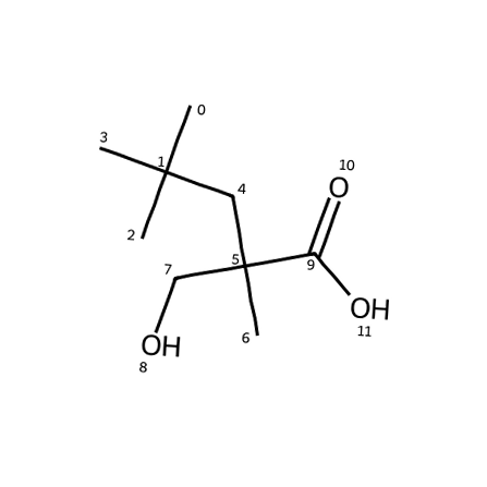 CC(C)(C)CC(C)(CO)C(=O)O